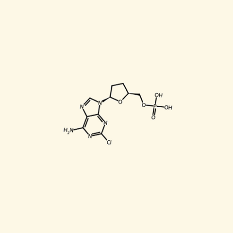 Nc1nc(Cl)nc2c1ncn2[C@H]1CC[C@@H](COP(=O)(O)O)O1